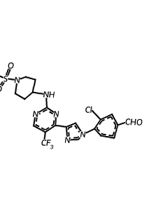 CS(=O)(=O)N1CCC(Nc2ncc(C(F)(F)F)c(-c3cn(-c4ccc(C=O)cc4Cl)cn3)n2)CC1